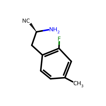 Cc1ccc(C[C@H](N)C#N)c(F)c1